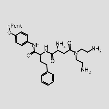 CCCCCOc1ccc(NC(=O)[C@H](CCc2ccccc2)NC(=O)[C@@H](N)CC(=O)N(CCN)CCN)cc1